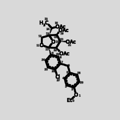 CCOc1ccc(Cc2cc([C@]34OC[C@](C(C)OC(C)=O)(O3)[C@@H](OC(C)=O)[C@H](OC(C)=O)[C@H]4OC(C)=O)ccc2Cl)cc1